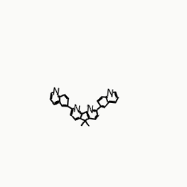 CC1(C)c2ccc(-c3ccc4ncccc4c3)nc2-c2nc(-c3ccc4ncccc4c3)ccc21